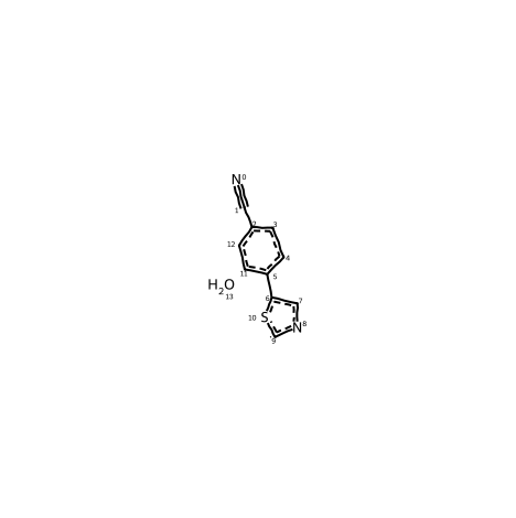 N#Cc1ccc(-c2cn[c]s2)cc1.O